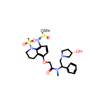 CO[SH](=O)=Nc1ccc(OCC(=O)N(C)C(CN2CC[C@H](O)C2)c2ccccc2)c2c1N(S(C)(=O)=O)CCC2